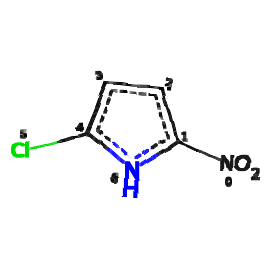 O=[N+]([O-])c1[c]cc(Cl)[nH]1